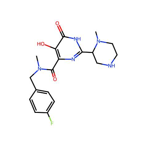 CN(Cc1ccc(F)cc1)C(=O)c1nc(C2CNCCN2C)[nH]c(=O)c1O